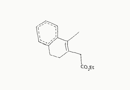 CCOC(=O)CC1=C(C)c2ccccc2CC1